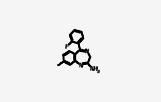 Cc1ccc2c(c1)N=C(N)CN=C2c1ccccc1F